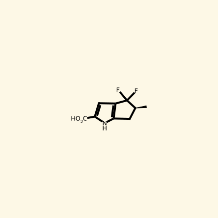 C[C@H]1Cc2[nH]c(C(=O)O)cc2C1(F)F